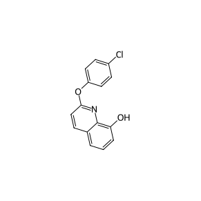 Oc1cccc2ccc(Oc3ccc(Cl)cc3)nc12